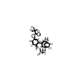 CN(C)C[C@@H]1C(c2cc(OC(=O)C(C)(C)C)ccc2F)=C[C@H]2CC[C@@H]1C2